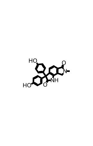 CN1Cc2c(ccc3c2NC(=O)C3(c2ccc(O)cc2)c2ccc(O)cc2)C1=O